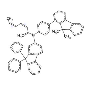 C=C(/C=C\C=C/C)N(c1ccc(-c2cccc3c2C(C)(C)c2ccccc2-3)cc1)c1ccc2c(c1)C(c1ccccc1)(c1ccccc1)c1ccccc1-2